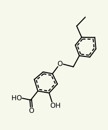 CCc1cccc(COc2ccc(C(=O)O)c(O)c2)c1